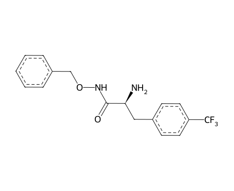 N[C@@H](Cc1ccc(C(F)(F)F)cc1)C(=O)NOCc1ccccc1